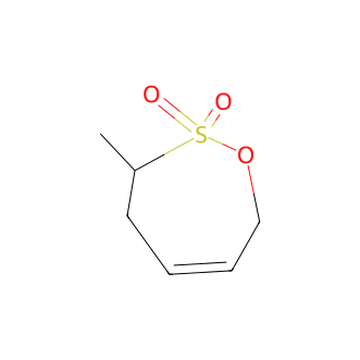 CC1CC=CCOS1(=O)=O